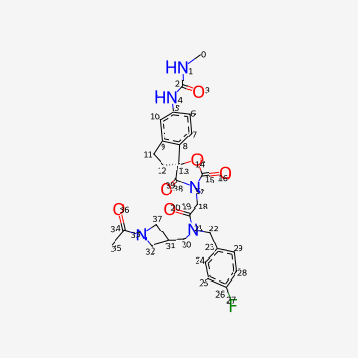 CNC(=O)Nc1ccc2c(c1)CC[C@@]21OC(=O)N(CC(=O)N(Cc2ccc(F)cc2)CC2CN(C(C)=O)C2)C1=O